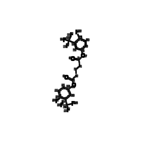 O=C(CCCC(=O)Oc1ccc(F)c(C(F)(F)F)c1)Oc1ccc(F)c(C(F)(F)F)c1